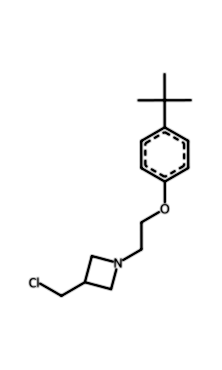 CC(C)(C)c1ccc(OCCN2CC(CCl)C2)cc1